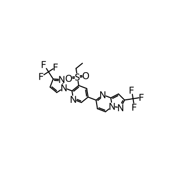 CCS(=O)(=O)c1cc(-c2ccn3nc(C(F)(F)F)cc3n2)cnc1-n1ccc(C(F)(F)F)n1